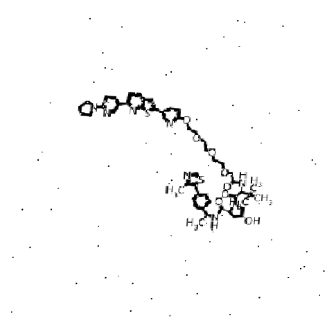 Cc1ncsc1-c1ccc([C@H](C)NC(=O)[C@@H]2C[C@@H](O)CN2C(=O)[C@@H](NC(=O)COCCOCCOCCOc2ccc(-c3cc4ccc(-c5ccc(N6CCCC6)nc5)nc4s3)cn2)C(C)(C)C)cc1